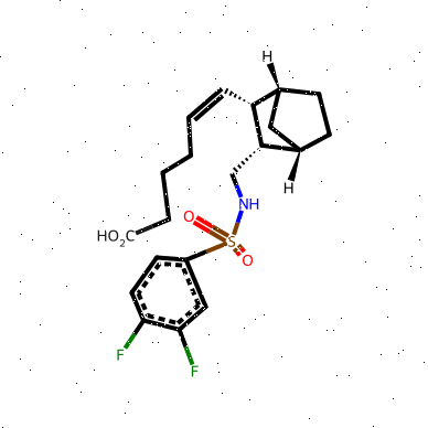 O=C(O)CCC/C=C\[C@@H]1[C@@H]2CC[C@@H](C2)[C@@H]1CNS(=O)(=O)c1ccc(F)c(F)c1